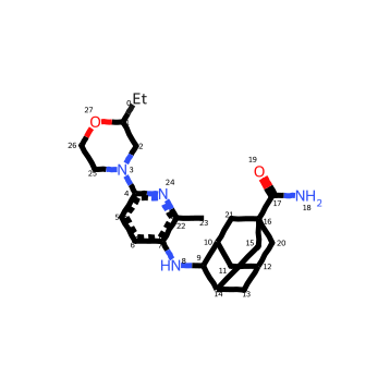 CCC1CN(c2ccc(NC3C4CC5CC3CC(C(N)=O)(C5)C4)c(C)n2)CCO1